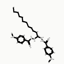 [CH2]CCCCCCCCCC[C](OOC(=O)c1ccc(OC)cc1)OOC(=O)c1ccc(OC)cc1